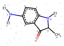 CCN(CC)c1ccc2c(c1)C(=O)C(C)N2CC